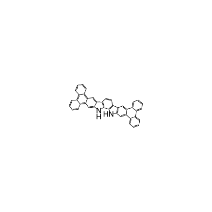 c1ccc2c(c1)c1ccccc1c1cc3c(cc21)[nH]c1c3ccc2c3cc4c5ccccc5c5ccccc5c4cc3[nH]c21